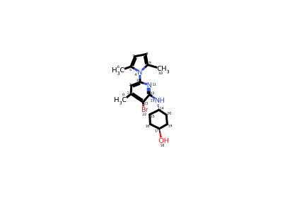 Cc1cc(-n2c(C)ccc2C)nc(N[C@H]2CC[C@H](O)CC2)c1Br